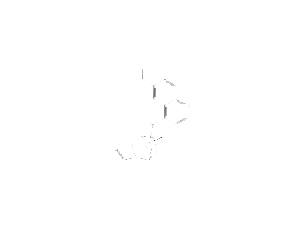 C=C[C@H]1CN2CCC1C[C@H]2C(O)c1ccnc2ccc(CO)cc12